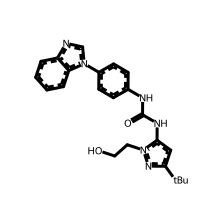 CC(C)(C)c1cc(NC(=O)Nc2ccc(-n3cnc4ccccc43)cc2)n(CCO)n1